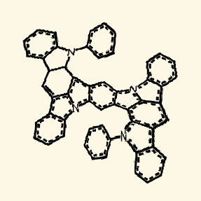 C1=c2c3ccccc3n3c2c(c2cc4c(cc23)c2c3c(cc5c6ccccc6n4c52)c2ccccc2n3-c2ccccc2)C2C1c1ccccc1N2c1ccccc1